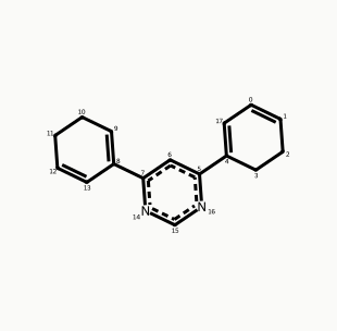 C1=CCCC(c2cc(C3=CCCC=C3)ncn2)=C1